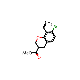 C=Cc1c(Br)ccc2c1OCC(C(=O)OC)C2